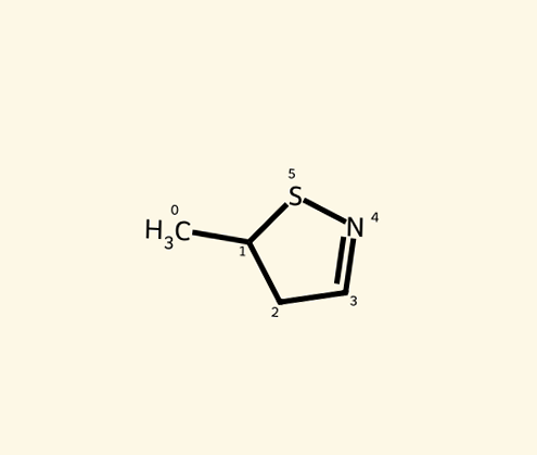 CC1CC=NS1